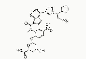 CN(C(=O)n1ccc2c(-c3cnn([C@H](CC#N)C4CCCC4)c3)ncnc21)c1cc([N+](=O)[O-])ccc1O[C@H]1C[C@@H](O)C[C@@H](C(=O)O)O1